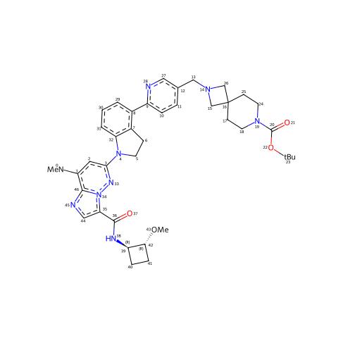 CNc1cc(N2CCc3c(-c4ccc(CN5CC6(CCN(C(=O)OC(C)(C)C)CC6)C5)cn4)cccc32)nn2c(C(=O)N[C@@H]3CC[C@H]3OC)cnc12